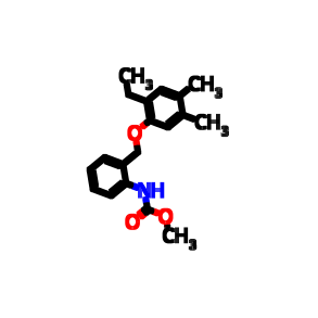 CCc1cc(C)c(C)cc1OCc1ccccc1NC(=O)OC